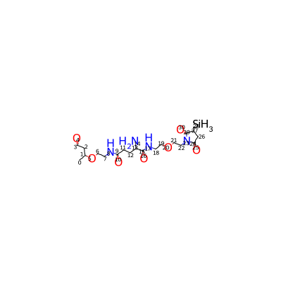 CC(CC=O)OCCNC(=O)CCC(N)C(=O)NCCOCCN1C(=O)CC([SiH3])C1=O